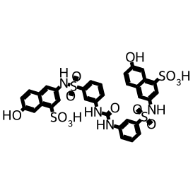 O=C(Nc1cccc(S(=O)(=O)Nc2cc(S(=O)(=O)O)c3cc(O)ccc3c2)c1)Nc1cccc(S(=O)(=O)Nc2cc(S(=O)(=O)O)c3cc(O)ccc3c2)c1